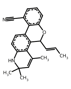 CC=CC1Oc2cccc(C#N)c2-c2ccc3c(c21)C(C)=CC(C)(C)N3